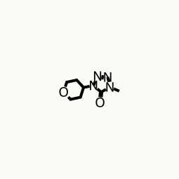 Cn1nnn(C2CCOCC2)c1=O